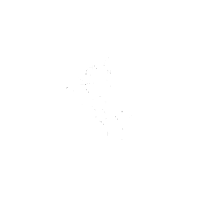 C[C@@H]1CN2c3c(cc4c(N5C(=O)OC[C@@H]5C(F)F)noc4c3F)CC3(C(=O)NC(=O)NC3=O)[C@H]2[C@H](C)O1